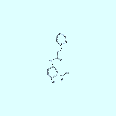 O=C(CCc1ccccc1)Nc1ccc(O)c(C(=O)O)c1